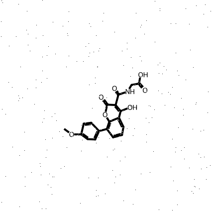 COc1ccc(-c2cccc3c(O)c(C(=O)NCC(=O)O)c(=O)oc23)cc1